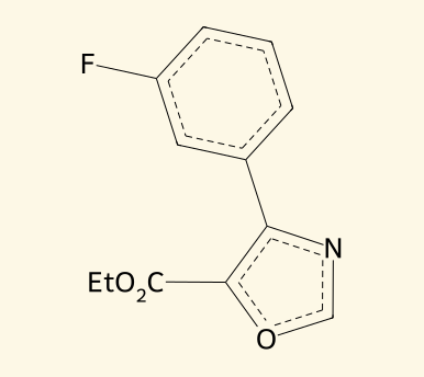 CCOC(=O)c1ocnc1-c1cccc(F)c1